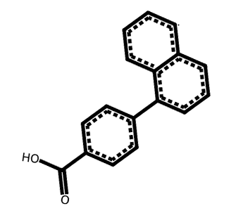 O=C(O)c1ccc(-c2cccc3[c]cccc23)cc1